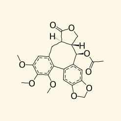 COc1cc2c(c(OC)c1OC)-c1cc3c(cc1[C@H](OC(C)=O)[C@H]1COC(=O)[C@@H]1C2)OCO3